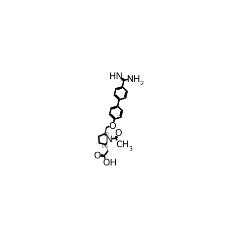 CC(=O)N1[C@H](COc2ccc(-c3ccc(C(=N)N)cc3)cc2)CC[C@H]1CC(=O)O